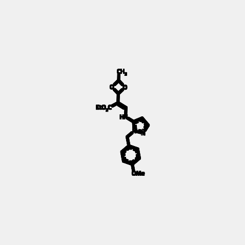 CCOC(=O)/C(=C\Nc1ccnn1Cc1ccc(OC)cc1)C1OC(C)O1